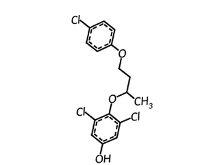 CC(CCOc1ccc(Cl)cc1)Oc1c(Cl)cc(O)cc1Cl